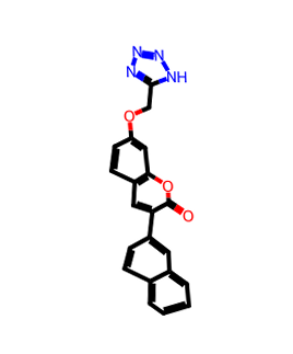 O=c1oc2cc(OCc3nnn[nH]3)ccc2cc1-c1ccc2ccccc2c1